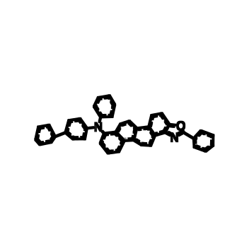 c1ccc(-c2ccc(N(c3ccccc3)c3cccc4c3ccc3c4ccc4c3ccc3oc(-c5ccccc5)nc34)cc2)cc1